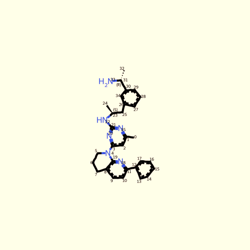 Cc1cc(N2CCCc3ccc(-c4ccccc4)nc32)nc(N[C@@H](C)Cc2cccc([C@@H](C)N)c2)n1